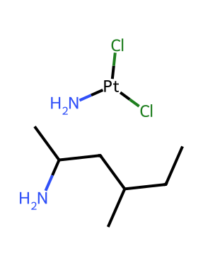 CCC(C)CC(C)N.[NH2][Pt]([Cl])[Cl]